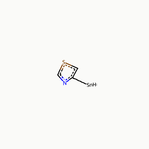 [SnH][c]1cscn1